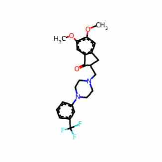 COc1cc2c(cc1OC)C(=O)C(CN1CCN(c3cccc(C(F)(F)F)c3)CC1)C2